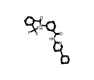 O=C(Nc1ccc(-c2ccccc2)cn1)c1cccc(NC(=O)c2ccccc2C(F)(F)F)c1